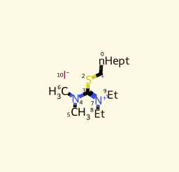 CCCCCCCCSC(N(C)C)=[N+](CC)CC.[I-]